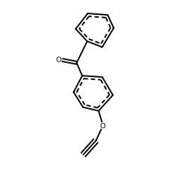 C#COc1ccc(C(=O)c2ccccc2)cc1